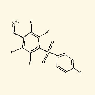 C=Cc1c(F)c(F)c(S(=O)(=O)c2ccc(F)cc2)c(F)c1F